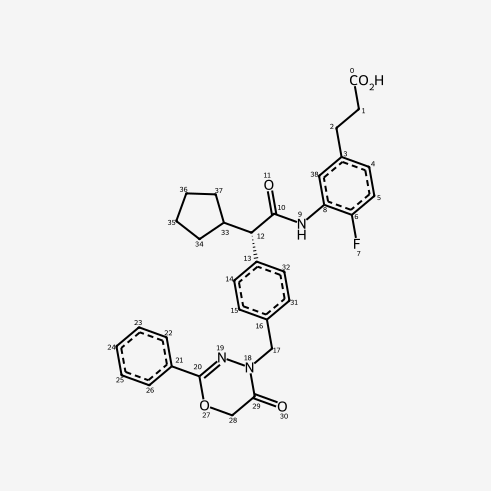 O=C(O)CCc1ccc(F)c(NC(=O)[C@H](c2ccc(CN3N=C(c4ccccc4)OCC3=O)cc2)C2CCCC2)c1